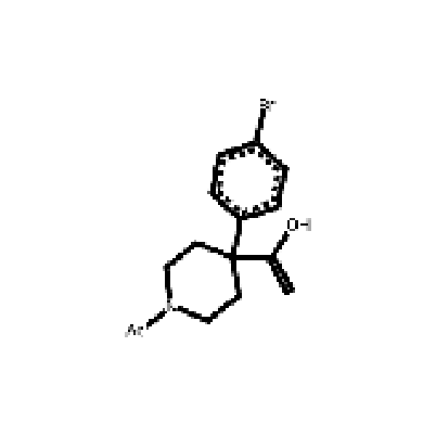 C=C(O)C1(c2ccc(Br)cc2)CCN(C(C)=O)CC1